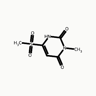 Cn1c(=O)cc(S(C)(=O)=O)[nH]c1=O